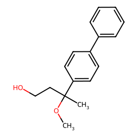 COC(C)(CCO)c1ccc(-c2ccccc2)cc1